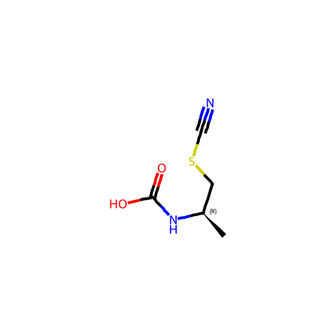 C[C@H](CSC#N)NC(=O)O